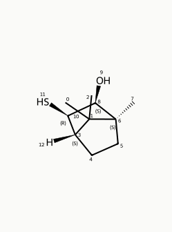 CC1(C)[C@@H]2CC[C@]1(C)[C@H](O)[C@@H]2S